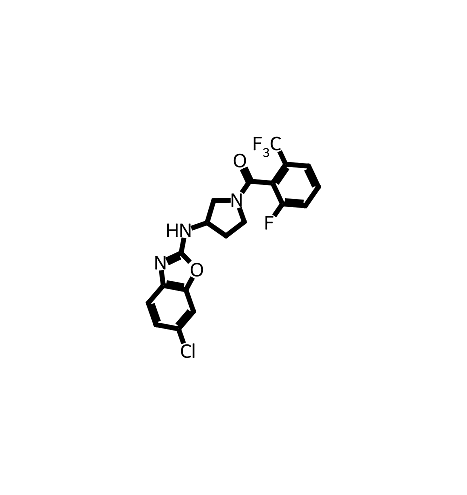 O=C(c1c(F)cccc1C(F)(F)F)N1CCC(Nc2nc3ccc(Cl)cc3o2)C1